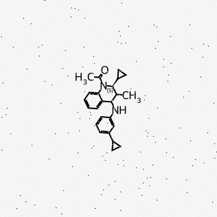 CC(=O)N1c2ccccc2C(Nc2cccc(C3CC3)c2)C(C)[C@@H]1C1CC1